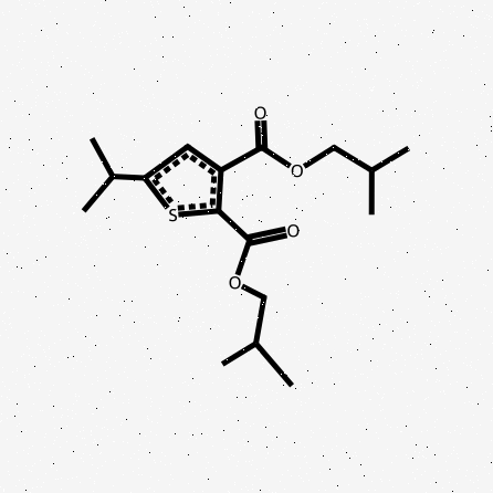 CC(C)COC(=O)c1cc(C(C)C)sc1C(=O)OCC(C)C